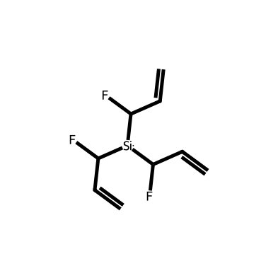 C=CC(F)[Si](C(F)C=C)C(F)C=C